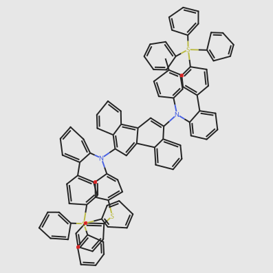 Cc1ccc(N(c2ccccc2-c2ccc(S(c3ccccc3)(c3ccccc3)c3ccccc3)cc2)c2cc3c4ccccc4c(N(c4ccc(Sc5ccccc5)cc4)c4ccccc4-c4ccc(S(c5ccccc5)(c5ccccc5)c5ccccc5)cc4)cc3c3ccccc23)cc1